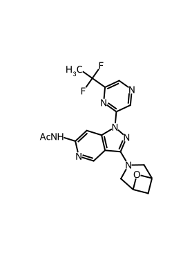 CC(=O)Nc1cc2c(cn1)c(N1CC3CC(C1)O3)nn2-c1cncc(C(C)(F)F)n1